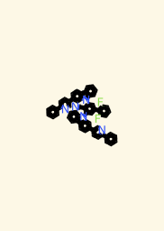 N#Cc1c(-n2c3ccccc3c3ccc(-c4ccc(-c5ccccc5)nc4)cc32)cc(-c2c(F)cccc2F)cc1-n1c2ccccc2c2ccc(-c3ccc(-c4ccccc4)nc3)cc21